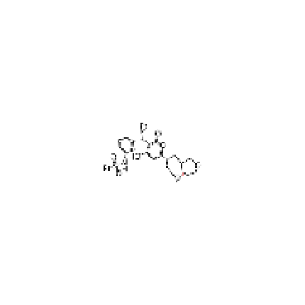 CCS(=O)(=O)Nc1cccc(C(c2c(O)cc(C(CC3CC3)CC3CCCOC3)oc2=O)C2CC2)c1